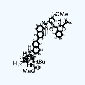 COC[C@H]1C[C@@H](c2nc3ccc4cc(-c5ccc6c(ccc7nc([C@@H]8C9[C@@H]%10[C@H](N8C(=O)[C@@H](NC(=O)OC)C(C)(C)C)[C@]9%10C)[nH]c76)c5)ccc4c3[nH]2)N(C(=O)[C@H](NC(=O)C2CC2)c2ccccc2)C1